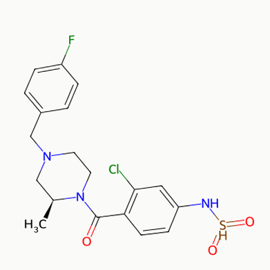 C[C@H]1CN(Cc2ccc(F)cc2)CCN1C(=O)c1ccc(N[SH](=O)=O)cc1Cl